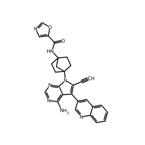 C#Cc1c(-c2cnc3ccccc3c2)c2c(N)ncnc2n1C12CCC(NC(=O)c3cnco3)(CC1)C2